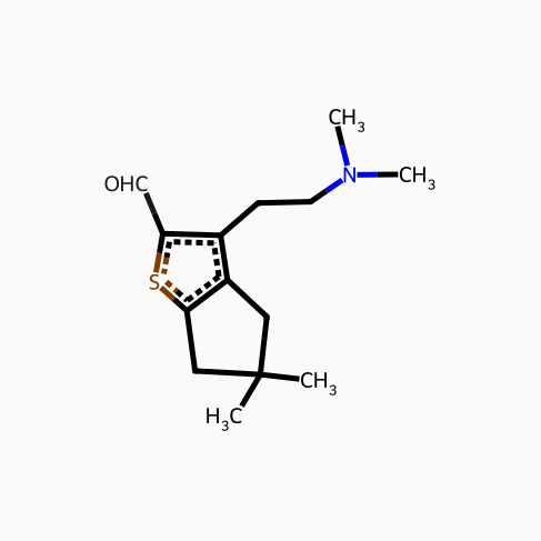 CN(C)CCc1c(C=O)sc2c1CC(C)(C)C2